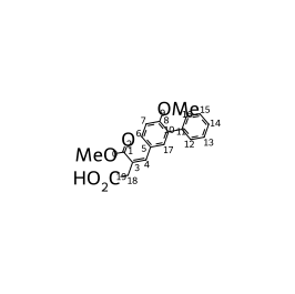 COC(=O)C(=Cc1ccc(OC)c(-c2ccccc2)c1)CC(=O)O